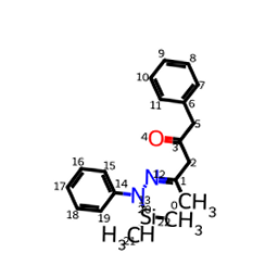 CC(CC(=O)Cc1ccccc1)=NN(c1ccccc1)[SiH](C)C